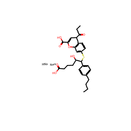 CCCCc1ccc(C(Sc2ccc3c(c2)OC(C(=O)O)=CC3C(=O)CC)C(O)CCCC(=O)O)cc1.[NaH].[NaH]